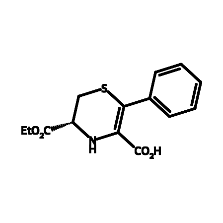 CCOC(=O)[C@@H]1CSC(c2ccccc2)=C(C(=O)O)N1